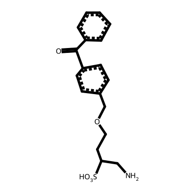 NCC(CCOCc1ccc(C(=O)c2ccccc2)cc1)S(=O)(=O)O